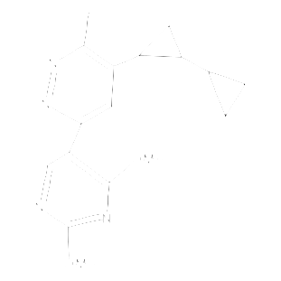 COc1ncc(-c2cc(C3CC3C3CC3)c(C)nn2)c(OC)n1